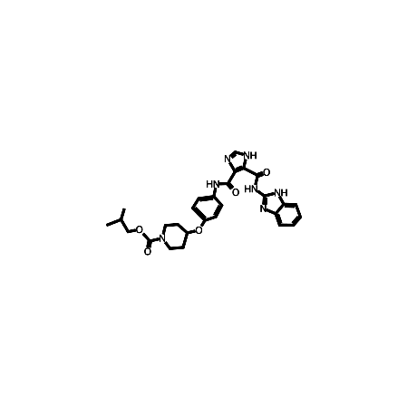 CC(C)COC(=O)N1CCC(Oc2ccc(NC(=O)c3nc[nH]c3C(=O)Nc3nc4ccccc4[nH]3)cc2)CC1